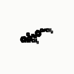 C=CCOc1ccc(N=Nc2c(C)[nH]n(-c3ccccc3)c2=O)cc1